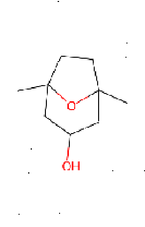 CC12CCC(C)(CC(O)C1)O2